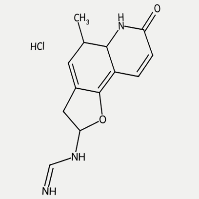 CC1C=C2CC(NC=N)OC2=C2C=CC(=O)NC21.Cl